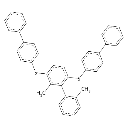 Cc1ccccc1-c1c(Sc2ccc(-c3ccccc3)cc2)ccc(Sc2ccc(-c3ccccc3)cc2)c1C